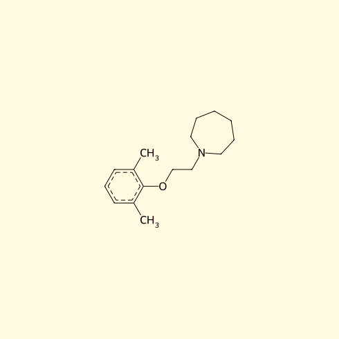 Cc1cccc(C)c1OCCN1CCCCCC1